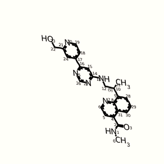 CNC(=O)c1ccnc2c([C@H](C)CNc3cc(-c4ccnc(CO)c4)ncn3)cccc12